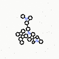 c1ccc(-n2c3ccccc3c3cc(-c4ccc(N(c5ccc6c(c5)C5(c7ccccc7-c7ccccc75)c5ccc7ccccc7c5-6)c5cccc6c5-c5ccccc5C65c6ccccc6-n6c7ccccc7c7cccc5c76)cc4)ccc32)cc1